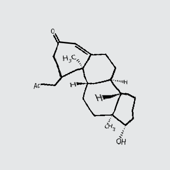 CC(=O)CC1CC(=O)C=C2CC[C@H]3[C@@H]4CC[C@H](O)[C@@]4(C)CC[C@@H]3[C@]21C